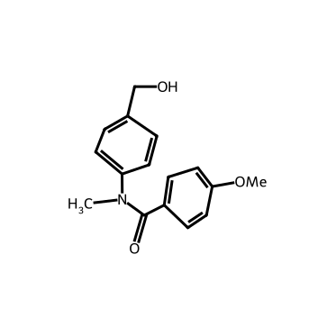 COc1ccc(C(=O)N(C)c2ccc(CO)cc2)cc1